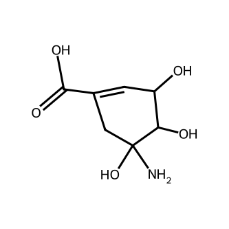 NC1(O)CC(C(=O)O)=CC(O)C1O